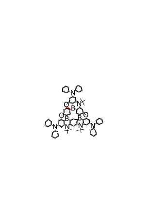 CC(C)(C)N1c2cc3c(cc2B2c4ccccc4Oc4cc(N(c5ccccc5)c5ccccc5)cc1c42)B1c2cc4c(cc2N(C(C)(C)C)c2cc(N(c5ccccc5)c5ccccc5)cc(c21)O3)N(C(C)(C)C)c1cc(N(c2ccccc2)c2ccccc2)cc2c1B4c1ccccc1O2